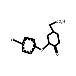 O=C(O)CC1CCC(=O)C(Sc2ccc(Cl)cc2)C1